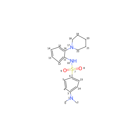 CN(C)c1ccc(S(=O)(=O)Nc2ccccc2N2CCCCC2)cc1